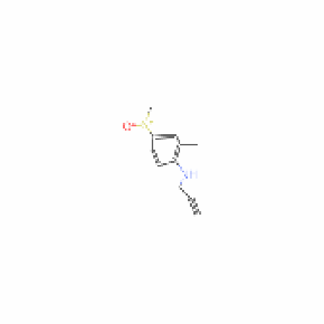 C#CCNc1ccc([S+](C)[O-])cc1C